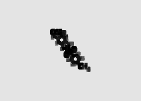 COCc1ccc2c(c1)CN(S(=O)(=O)c1ccc(C)cc1)C2